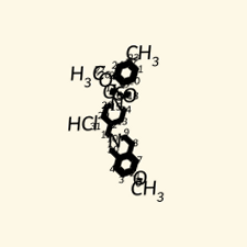 COc1ccc2c(c1)CCN(CC1CCN(S(=O)(=O)c3ccc(C)cc3OC)CC1)C2.Cl